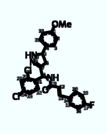 COc1ccc(C2CC(C(NC(=O)C=Cc3ccc(F)cc3)c3ccc(Cl)cc3Cl)=NN2)cc1